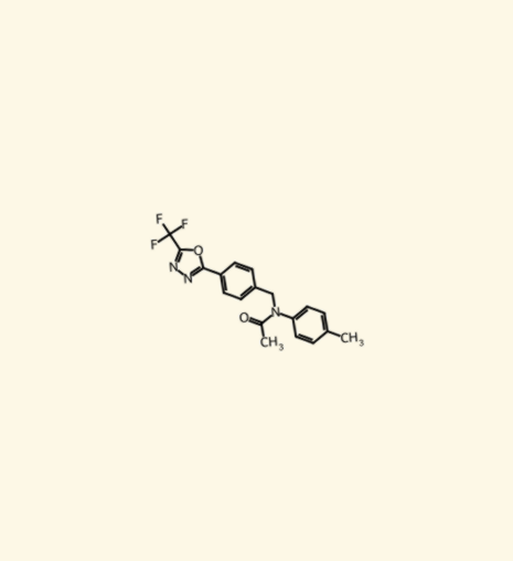 CC(=O)N(Cc1ccc(-c2nnc(C(F)(F)F)o2)cc1)c1ccc(C)cc1